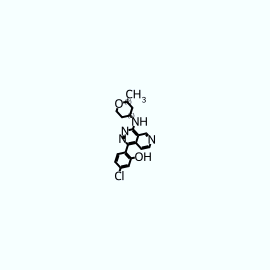 C[C@@H]1C[C@@H](Nc2nnc(-c3ccc(Cl)cc3O)c3ccncc23)CCO1